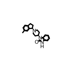 Cc1ccc2c(c1)C(N1CCC(n3c(=O)[nH]c4ccccc43)CC1)CC2